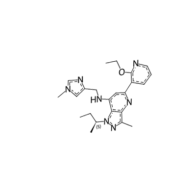 CCOc1ncccc1-c1cc(NCc2cn(C)cn2)c2c(n1)c(C)nn2[C@@H](C)CC